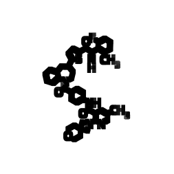 Cc1cnc(N2CC3(CCOCC3)C2)c(C(=O)Nc2ccc(C(=O)N3CCC(c4ccc(C(=O)C(=N)c5c(C)cccc5F)s4)=Cc4ccccc43)cc2)c1